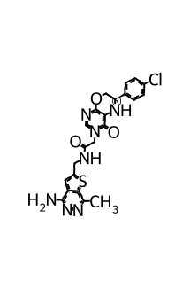 Cc1nnc(N)c2cc(CNC(=O)Cn3cnc4c(c3=O)N[C@H](c3ccc(Cl)cc3)CO4)sc12